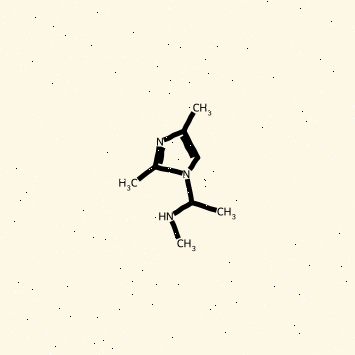 CNC(C)n1cc(C)nc1C